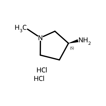 CN1CC[C@H](N)C1.Cl.Cl